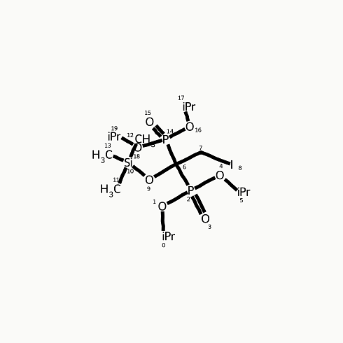 CC(C)OP(=O)(OC(C)C)C(CI)(O[Si](C)(C)C)P(=O)(OC(C)C)OC(C)C